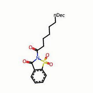 CCCCCCCCCCCCCCCC(=O)N1C(=O)c2ccccc2S1(=O)=O